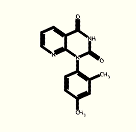 Cc1ccc(-n2c(=O)[nH]c(=O)c3cccnc32)c(C)c1